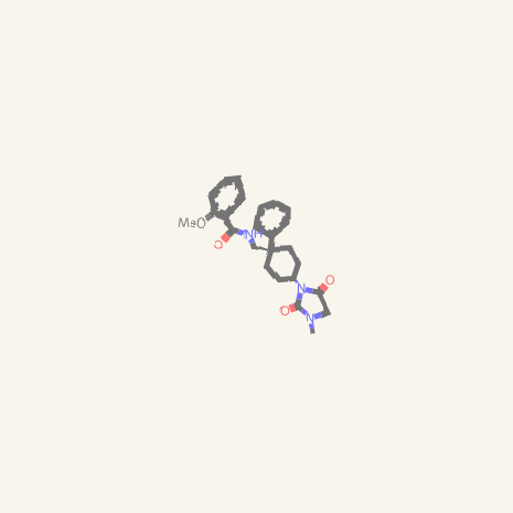 COc1ccccc1C(=O)NC[C@]1(c2ccccc2)CC[C@H](N2C(=O)CN(C)C2=O)CC1